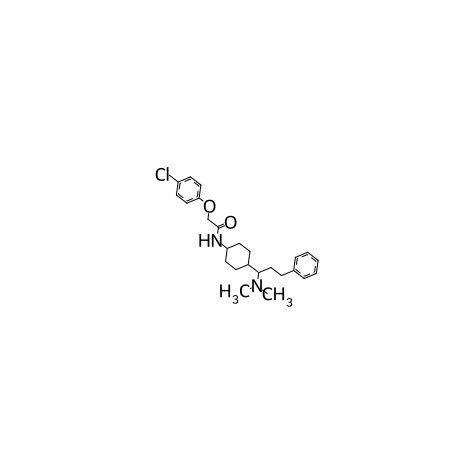 CN(C)C(CCc1ccccc1)C1CCC(NC(=O)COc2ccc(Cl)cc2)CC1